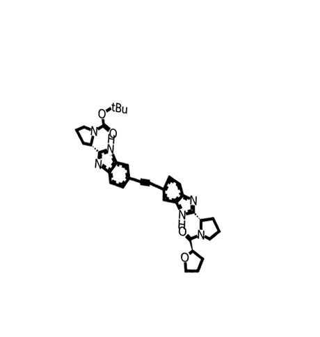 CC(C)(C)OC(=O)N1CCC[C@H]1c1nc2ccc(C#Cc3ccc4nc([C@@H]5CCCN5C(=O)[C@H]5CCCO5)[nH]c4c3)cc2[nH]1